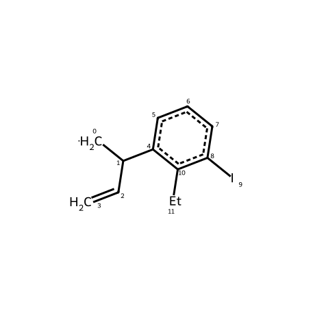 [CH2]C(C=C)c1cccc(I)c1CC